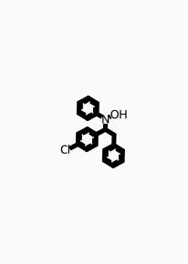 ON(c1ccccc1)C(Cc1ccccc1)c1ccc(Cl)cc1